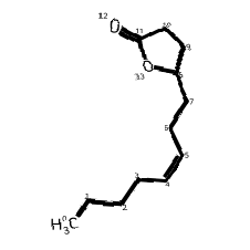 CCCC/C=C\CCC1CCC(=O)O1